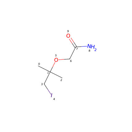 CC(C)(CI)OCC(N)=O